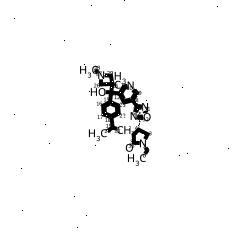 CCN1C[C@@H](c2nc(-c3cncc(C(O)(c4ccc(C(C)C)cc4)C4(C)CN(C)C4)c3)no2)CC1=O